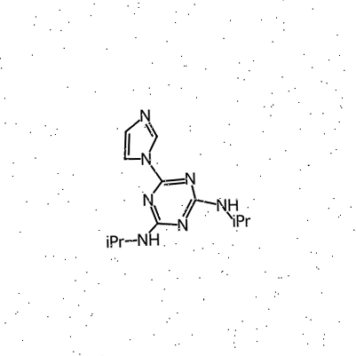 CC(C)Nc1nc(NC(C)C)nc(-n2ccnc2)n1